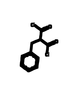 O=C(Cl)C(Cc1ccccc1)C(=O)Cl